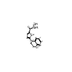 CCCNC(=O)c1ccc(N2CCSc3ncccc32)s1